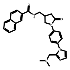 CN(C)Cc1nccn1-c1ccc(N2CC(CNC(=O)c3ccc4ccccc4c3)CC2=O)cc1